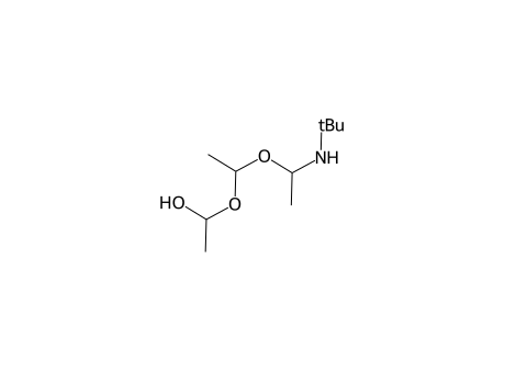 CC(O)OC(C)OC(C)NC(C)(C)C